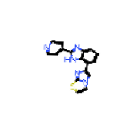 c1cc(-c2cn3ccsc3n2)c2[nH]c(-c3ccncc3)nc2c1